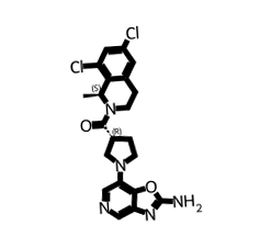 C[C@H]1c2c(Cl)cc(Cl)cc2CCN1C(=O)[C@@H]1CCN(c2cncc3nc(N)oc23)C1